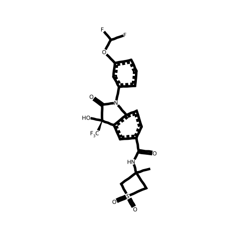 CC1(NC(=O)c2ccc3c(c2)[C@@](O)(C(F)(F)F)C(=O)N3c2cccc(OC(F)F)c2)CS(=O)(=O)C1